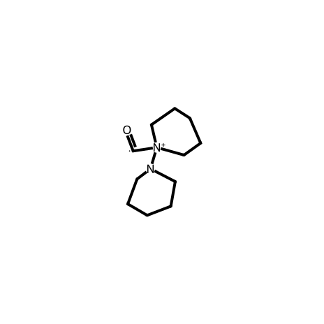 O=[C][N+]1(N2CCCCC2)CCCCC1